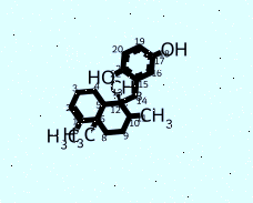 CC1=CCCC2C1(C)CCC(C)[C@@]2(C)Cc1cc(O)ccc1O